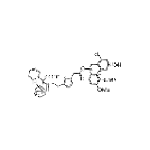 COc1ccc([C@H](Cc2c(Cl)c[n+](O)cc2Cl)OC(=O)Cc2ccc(CCNC(C(=O)[O-])(c3ccccc3)[C@H]3CN4CCC3CC4)s2)cc1OC